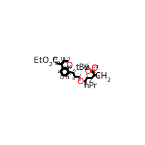 C=C(CCC(CCC)OCCCc1cccc2c1OC=C=C2CC(=O)OCC)C(=O)OC(C)(C)C